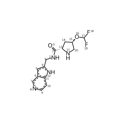 O=C(NCc1cc2cnccc2[nH]1)[C@@H]1C[C@@H](OC(F)F)CN1